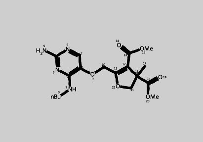 CCCCNc1nc(N)ncc1OCC1=C(C(=O)OC)C(C)(C(=O)OC)CO1